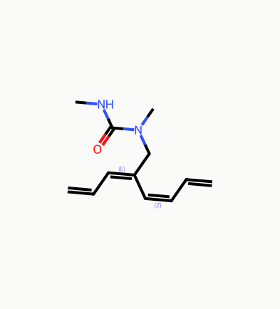 C=C/C=C\C(=C/C=C)CN(C)C(=O)NC